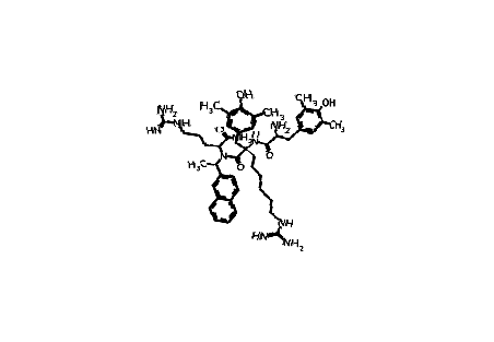 Cc1cc(C[C@H](N)C(=O)N[C@@](CCCCCCNC(=N)N)(Cc2cc(C)c(O)c(C)c2)C(=O)N([C@H](C)c2ccc3ccccc3c2)[C@@H](CCCNC(=N)N)C(N)=O)cc(C)c1O